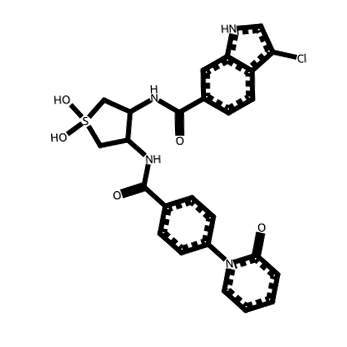 O=C(NC1CS(O)(O)CC1NC(=O)c1ccc2c(Cl)c[nH]c2c1)c1ccc(-n2ccccc2=O)cc1